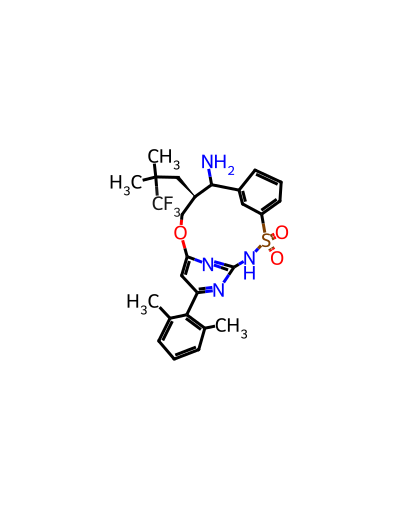 Cc1cccc(C)c1-c1cc2nc(n1)NS(=O)(=O)c1cccc(c1)C(N)[C@H](CC(C)(C)C(F)(F)F)CO2